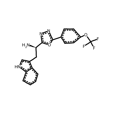 N[C@H](Cc1c[nH]c2ccccc12)c1nnc(-c2ccc(OC(F)(F)F)cc2)o1